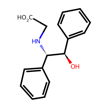 O=C(O)CN[C@@H](c1ccccc1)[C@H](O)c1ccccc1